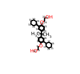 CC(C)(c1ccc(OCCO)c(C2CCCCC2)c1)c1ccc(OCCO)c(C2CCCCC2)c1